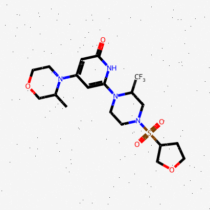 CC1COCCN1c1cc(N2CCN(S(=O)(=O)C3CCOC3)CC2C(F)(F)F)[nH]c(=O)c1